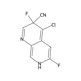 N#CC1(F)C=NC2=CNC(F)=CC2=C1Cl